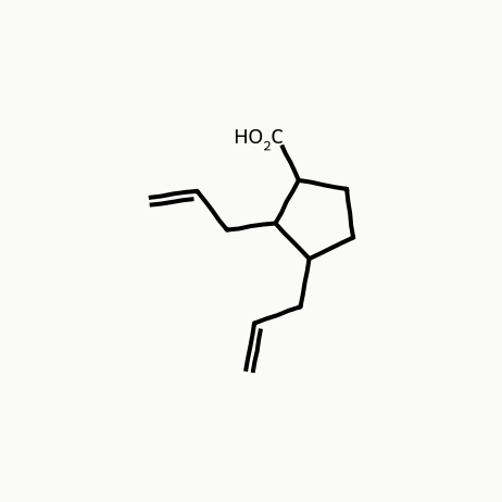 C=CCC1CCC(C(=O)O)C1CC=C